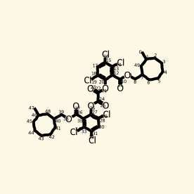 CC1CCCCCC(COC(=O)c2c(Cl)c(Cl)cc(Cl)c2OC(=O)C(=O)Oc2c(Cl)cc(Cl)c(Cl)c2C(=O)OCC2CCCCCC(C)C2)C1